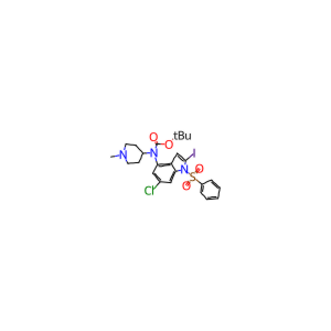 CN1CCC(N(C(=O)OC(C)(C)C)c2cc(Cl)cc3c2cc(I)n3S(=O)(=O)c2ccccc2)CC1